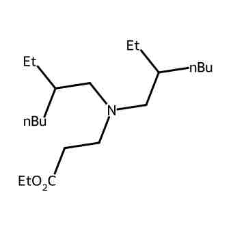 CCCCC(CC)CN(CCC(=O)OCC)CC(CC)CCCC